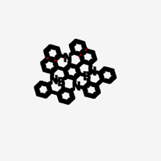 c1ccc(N(c2ccccc2)c2c3c4c5c6c2-c2ccccc2N2B6c6c(cccc6N5c5cccc6c5B4N(c4ccccc4-6)c4ccccc4-3)-c3ccccc32)cc1